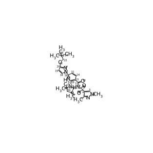 Cc1nn(C)cc1S(=O)(=O)NC(=O)c1ccc(-n2ccc(OCC(C)(C)C)n2)nc1N1C[C@@H](C)CC1(C)C